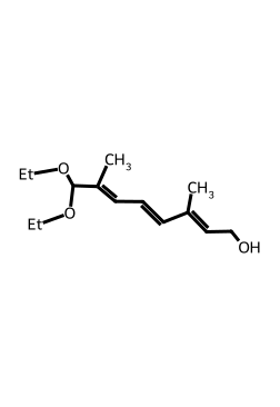 CCOC(OCC)/C(C)=C/C=C/C(C)=C/CO